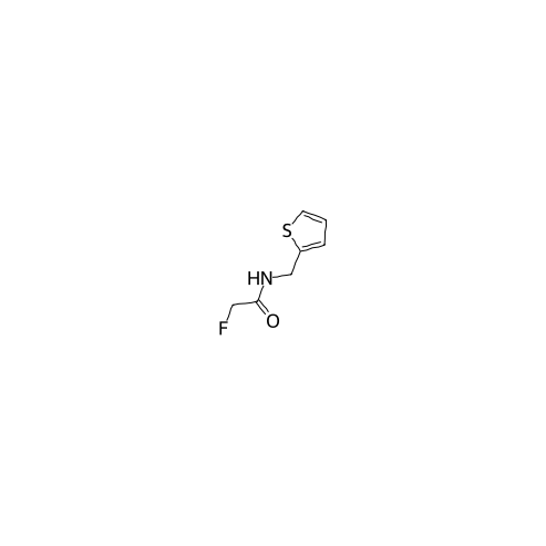 O=C(CF)NCc1cccs1